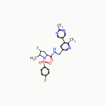 CC1C(F)CC(C(=O)NCc2cnc(C(F)(F)F)c(-c3cnc(C(F)(F)F)nc3)c2)N1S(=O)(=O)c1ccc(F)cc1